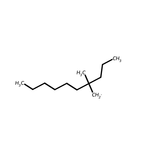 [CH2]C(C)(CCC)CCCCCC